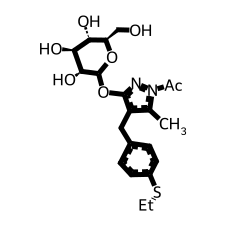 CCSc1ccc(Cc2c(OC3O[C@H](CO)[C@@H](O)[C@H](O)[C@H]3O)nn(C(C)=O)c2C)cc1